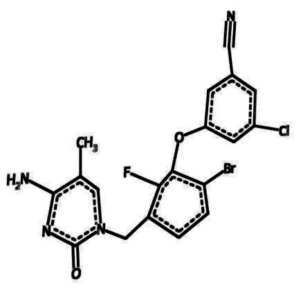 Cc1cn(Cc2ccc(Br)c(Oc3cc(Cl)cc(C#N)c3)c2F)c(=O)nc1N